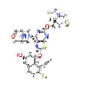 C#Cc1c(F)ccc2cc(O)cc(Oc3nc4c(N5CC6COCC(C5)N6)nc(OC[C@@]56CCCN5CC(F)C6)nc4s3)c12